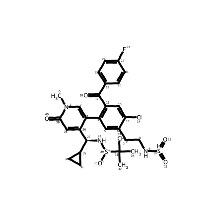 Cn1cc(-c2cc(CCN[SH](=O)=O)c(Cl)cc2C(=O)c2ccc(F)cc2)c([C@@H](N[S+]([O-])C(C)(C)C)C2CC2)cc1=O